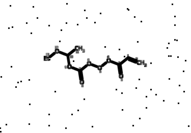 C=CC(=O)OOOC(=O)OC(C)OCC